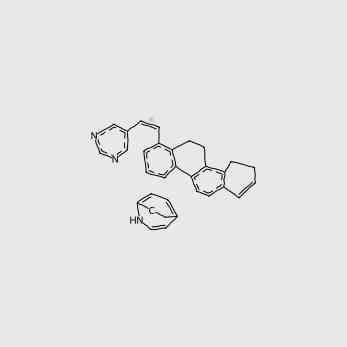 C1=CC2=CC=C(CC2)N1.C1=Cc2ccc3c(c2CC1)CCc1c(/C=C\c2cncnc2)cccc1-3